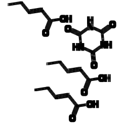 CCC=CC(=O)O.CCC=CC(=O)O.CCC=CC(=O)O.O=c1[nH]c(=O)[nH]c(=O)[nH]1